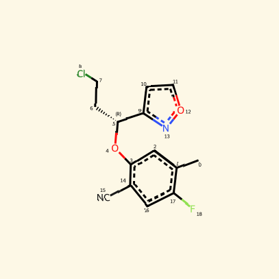 Cc1cc(O[C@H](CCCl)c2ccon2)c(C#N)cc1F